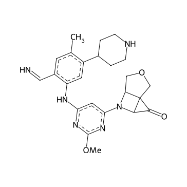 COc1nc(Nc2cc(C3CCNCC3)c(C)cc2C=N)cc(N2C3COCC34C(=O)C24)n1